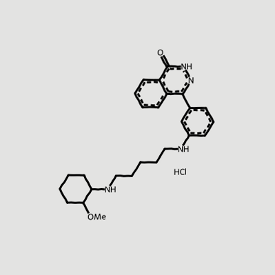 COC1CCCCC1NCCCCCNc1cccc(-c2n[nH]c(=O)c3ccccc23)c1.Cl